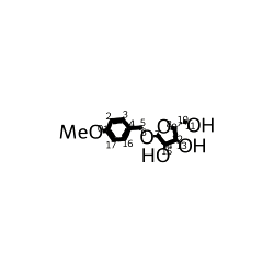 COc1ccc(CO[C@H]2O[C@H](CO)[C@@H](O)[C@H]2O)cc1